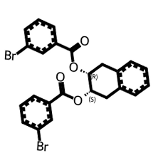 O=C(O[C@H]1Cc2ccccc2C[C@H]1OC(=O)c1cccc(Br)c1)c1cccc(Br)c1